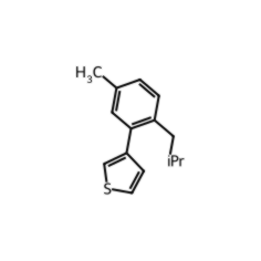 Cc1ccc(CC(C)C)c(-c2ccsc2)c1